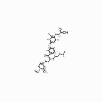 CCCCCCN(CCc1ccc(OC)c(OC)c1)C(=O)c1cccc(Oc2ccc(CCC(=O)O)c(C)c2)c1